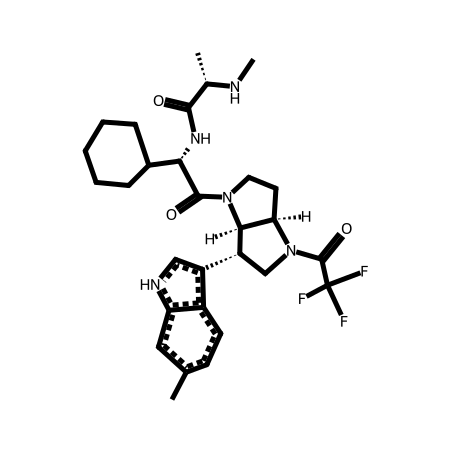 CN[C@@H](C)C(=O)N[C@H](C(=O)N1CC[C@@H]2[C@H]1[C@@H](c1c[nH]c3cc(C)ccc13)CN2C(=O)C(F)(F)F)C1CCCCC1